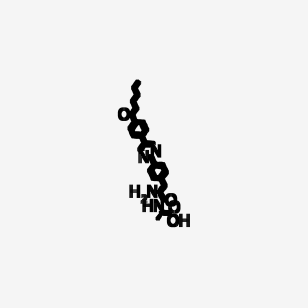 CCCCCC(=O)c1ccc(-c2cnc(-c3ccc(C[C@H](N)C(=O)N[C@H](C)C(=O)O)cc3)nc2)cc1